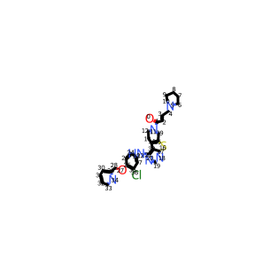 O=C(C=CCN1CCCCC1)N1CCc2c(sc3ncnc(Nc4ccc(OCc5ccccn5)c(Cl)c4)c23)C1